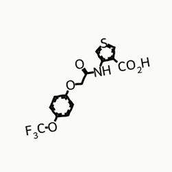 O=C(COc1ccc(OC(F)(F)F)cc1)Nc1cscc1C(=O)O